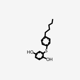 CCCCCc1ccc(Sc2cc(O)ccc2O)cc1